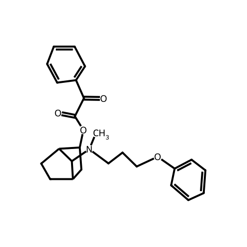 CN(CCCOc1ccccc1)C1C2CCC1C(OC(=O)C(=O)c1ccccc1)C2